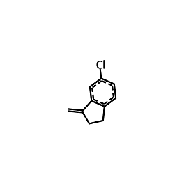 C=C1CCc2ccc(Cl)cc21